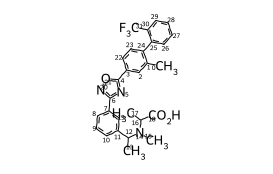 Cc1cc(-c2nc(-c3cccc(C(C)N(C)C(C)C(=O)O)c3)no2)ccc1-c1ccccc1C(F)(F)F